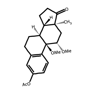 CO[C@H]1C[C@]2(C)C(=O)CC[C@H]2[C@@H]2CCc3cc(OC(C)=O)ccc3[C@@]12OC